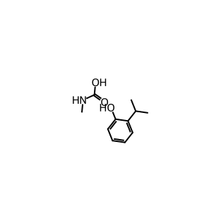 CC(C)c1ccccc1O.CNC(=O)O